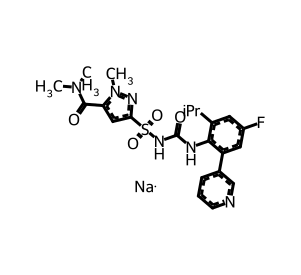 CC(C)c1cc(F)cc(-c2cccnc2)c1NC(=O)NS(=O)(=O)c1cc(C(=O)N(C)C)n(C)n1.[Na]